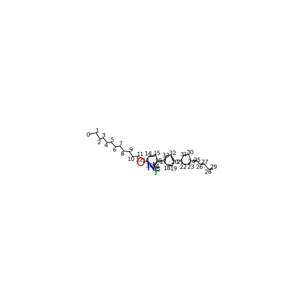 CCCCCCCCCCCCOc1ccc(-c2ccc([C@H]3CC[C@H](CCCCC)CC3)cc2)c(F)n1